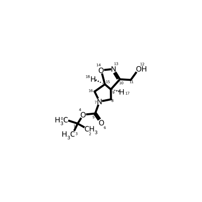 CC(C)(C)OC(=O)N1C[C@@H]2C(CO)=NO[C@@H]2C1